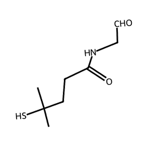 CC(C)(S)CCC(=O)NCC=O